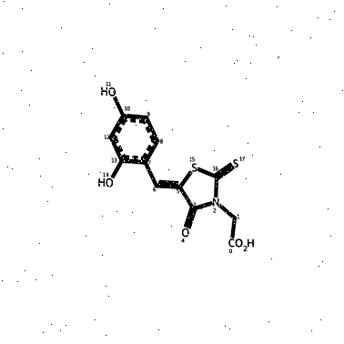 O=C(O)CN1C(=O)/C(=C/c2ccc(O)cc2O)SC1=S